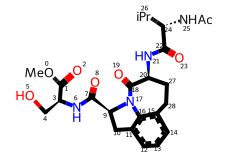 COC(=O)[C@H](CO)NC(=O)[C@@H]1Cc2cccc3c2N1C(=O)[C@@H](NC(=O)[C@@H](NC(C)=O)C(C)C)CC3